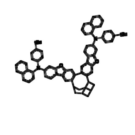 CC(C)(C)c1ccc(N(c2ccc3c(c2)oc2cc4c(cc23)-c2cc3oc5cc(N(c6ccc(C(C)(C)C)cc6)c6cccc7ccccc67)ccc5c3cc2C2CC3CC5CC4C35C2)c2cccc3ccccc23)cc1